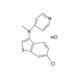 CN(c1ccncc1)c1csc2cc(Cl)ccc12.Cl